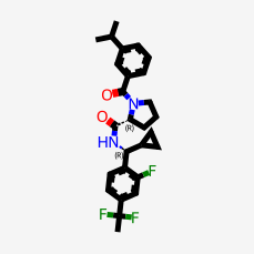 CC(C)c1cccc(C(=O)N2CCC[C@@H]2C(=O)N[C@@H](c2ccc(C(C)(F)F)cc2F)C2CC2)c1